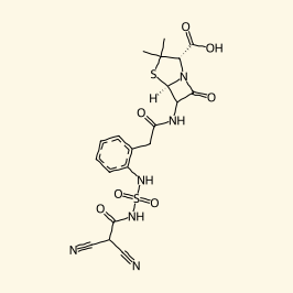 CC1(C)S[C@@H]2C(NC(=O)Cc3ccccc3NS(=O)(=O)NC(=O)C(C#N)C#N)C(=O)N2[C@H]1C(=O)O